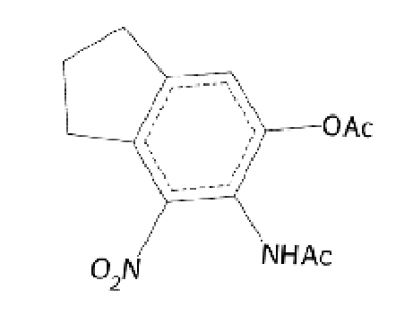 CC(=O)Nc1c(OC(C)=O)cc2c(c1[N+](=O)[O-])CCC2